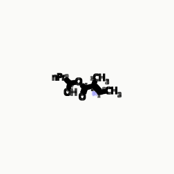 C/C=C(\C)C(=O)OC(O)CCC